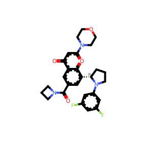 O=C(c1cc([C@@H]2CCCN2c2cc(F)cc(F)c2)c2oc(N3CCOCC3)cc(=O)c2c1)N1CCC1